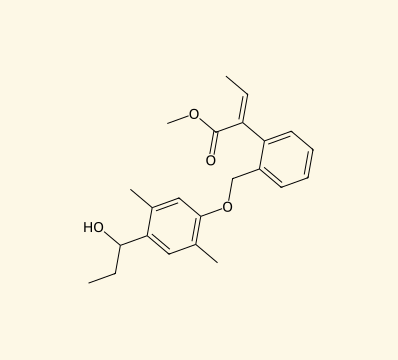 CC=C(C(=O)OC)c1ccccc1COc1cc(C)c(C(O)CC)cc1C